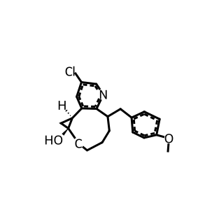 COc1ccc(CC2CCCC[C@]3(O)C[C@H]3c3cc(Cl)cnc32)cc1